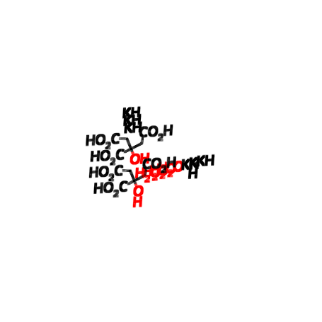 O.O.O.O.O=C(O)CC(O)(CC(=O)O)C(=O)O.O=C(O)CC(O)(CC(=O)O)C(=O)O.[KH].[KH].[KH].[KH].[KH].[KH]